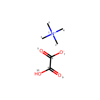 C[N+](C)(C)C.O=C([O-])C(=O)O